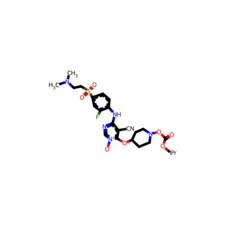 CC(C)OC(=O)ON1CCC(Oc2c(C#N)c(Nc3ccc(S(=O)(=O)CCN(C)C)cc3F)nc[n+]2[O-])CC1